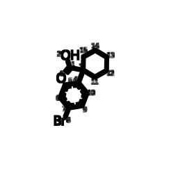 O=C(O)C1(c2ccc(Br)cc2)CCCCC1